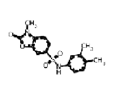 Cc1ccc(NS(=O)(=O)c2ccc3c(c2)oc(=O)n3C)cc1C